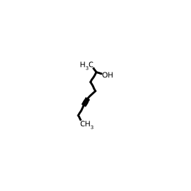 CCC#CCCC(C)O